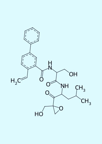 C=Cc1ccc(-c2ccccc2)cc1C(=O)NC(CO)C(=O)NC(CC(C)C)C(=O)C1(CO)CO1